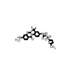 CNc1ccc2c(=O)n(-c3ccc(NC(=O)NS(=O)(=O)c4ccc(C)s4)cc3C(F)(F)F)cnc2c1